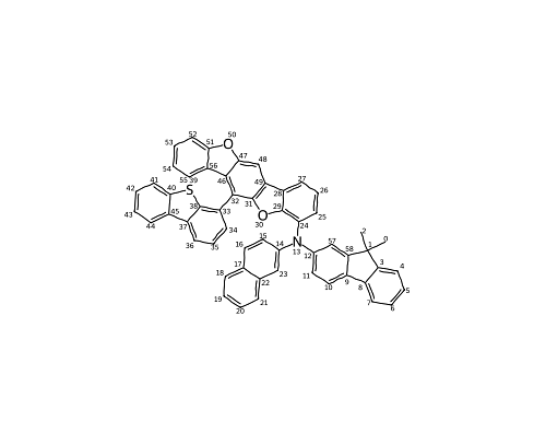 CC1(C)c2ccccc2-c2ccc(N(c3ccc4ccccc4c3)c3cccc4c3oc3c(-c5cccc6c5sc5ccccc56)c5c(cc34)oc3ccccc35)cc21